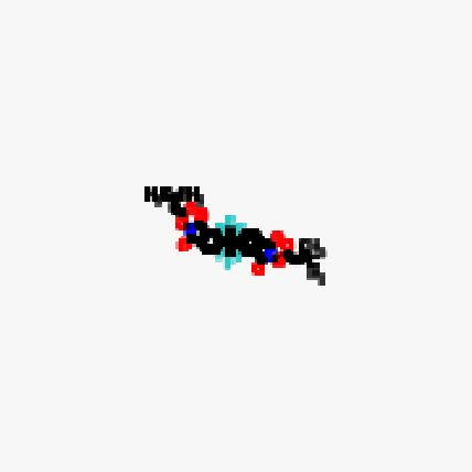 CC(C)CC(=O)ON1C(=O)c2ccc(C(c3ccc4c(c3)C(=O)N(OC(=O)CC(C)C)C4=O)(C(F)(F)F)C(F)(F)F)cc2C1=O